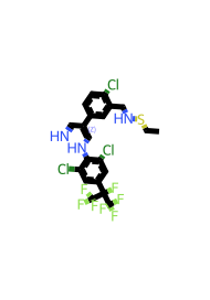 CCSNCc1cc(/C(C=N)=C/Nc2c(Cl)cc(C(F)(C(F)(F)F)C(F)(F)F)cc2Cl)ccc1Cl